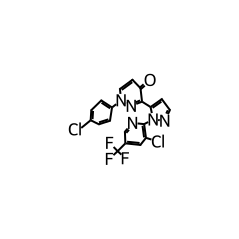 O=c1ccn(-c2ccc(Cl)cc2)nc1-c1ccnn1-c1ncc(C(F)(F)F)cc1Cl